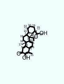 CC[C@]1(C)C2=CC=C3C(=CC(=O)C(O)=C3C)[C@]2(C)CC[C@@]1(C)[C@@H]1C[C@](C)(C(=O)O)CC[C@H]1C